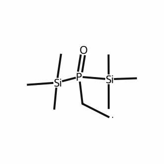 [CH2]CP(=O)([Si](C)(C)C)[Si](C)(C)C